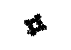 C1=Cc2nc1c(-c1ccncc1)c1ccc([nH]1)c(-c1ccncc1)c1nc(c(-c3ccncc3)c3ccc([nH]3)c2-c2ccncc2)C=C1.[Ti+4]